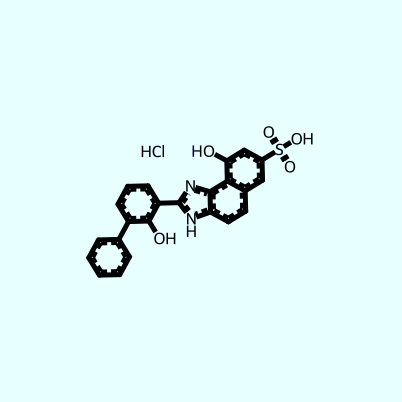 Cl.O=S(=O)(O)c1cc(O)c2c(ccc3[nH]c(-c4cccc(-c5ccccc5)c4O)nc32)c1